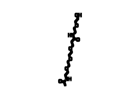 CC(=O)NCCOCCOCCOCCC(=O)NCCOCCO